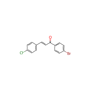 O=C(/C=C/c1ccc(Cl)cc1)c1ccc(Br)cc1